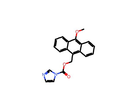 COc1c2ccccc2c(COC(=O)n2ccnc2)c2ccccc12